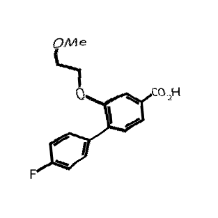 COCCOc1cc(C(=O)O)ccc1-c1ccc(F)cc1